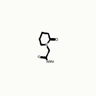 CNC(=O)CN1CCCCC1=O